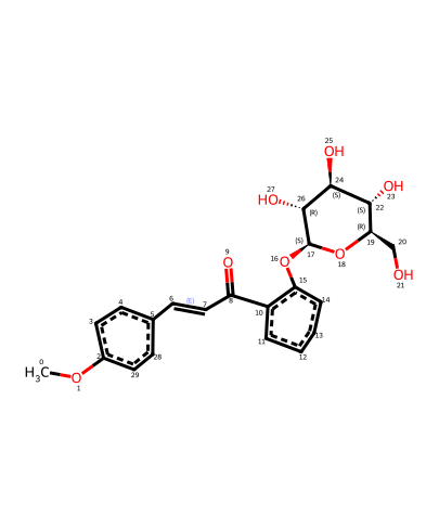 COc1ccc(/C=C/C(=O)c2ccccc2O[C@@H]2O[C@H](CO)[C@@H](O)[C@H](O)[C@H]2O)cc1